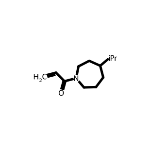 C=CC(=O)N1CCCC(C(C)C)CC1